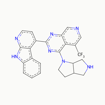 FC(F)(F)c1cncc2nc(-c3ccnc4[nH]c5ccccc5c34)nc(N3CCC4CNCC43)c12